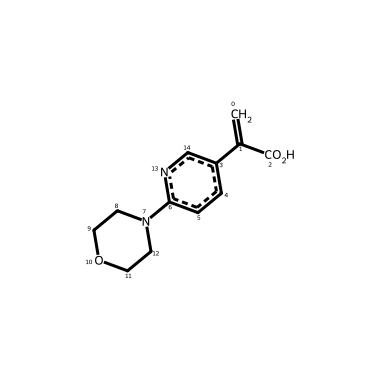 C=C(C(=O)O)c1ccc(N2CCOCC2)nc1